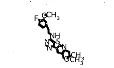 COc1cc(CCNc2ncnc3c2sc2nc4c(cc23)COC(C)(C)C4)ccc1F